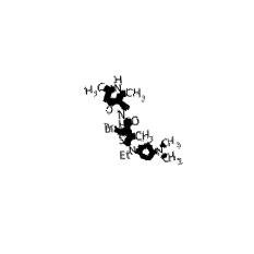 CCN(c1sc(Br)c(C(=O)NCc2c(C)[nH]c(C)cc2=O)c1C)C1CCC(N(C)C)CC1